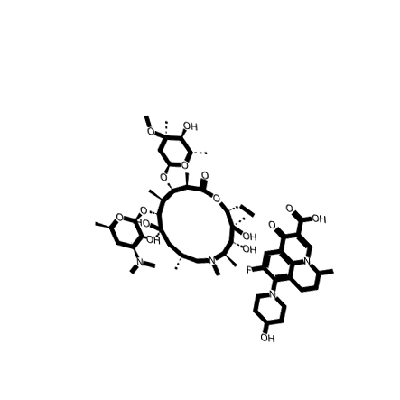 CC1CCc2c(N3CCC(O)CC3)c(F)cc3c(=O)c(C(=O)O)cn1c23.CC[C@H]1OC(=O)[C@H](C)[C@@H](O[C@H]2C[C@@](C)(OC)[C@@H](O)[C@H](C)O2)[C@H](C)[C@@H](O[C@@H]2O[C@H](C)C[C@H](N(C)C)[C@H]2O)[C@](C)(O)C[C@@H](C)CN(C)[C@H](C)[C@@H](O)[C@]1(C)O